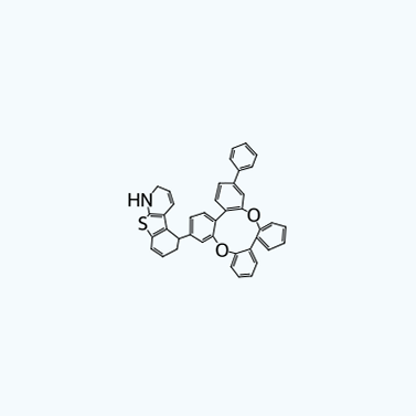 C1=Cc2c(sc3c2C(c2ccc4c(c2)Oc2ccccc2-c2ccccc2Oc2cc(-c5ccccc5)ccc2-4)CC=C3)NC1